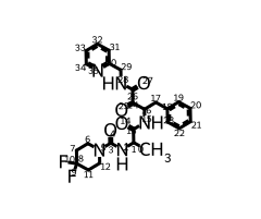 CC(NC(=O)N1CCC(F)(F)CC1)C(=O)NC(Cc1ccccc1)C(=O)C(=O)NCc1ccccn1